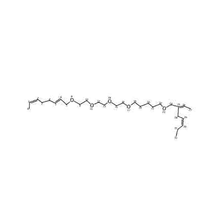 C/C=C\CC/C=C/COCCOCCOCCOCCCCCOC/C(=C/C)C/C=C\CC